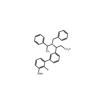 COc1cccc(-c2cccc(C(CC(=O)O)N(Cc3ccccc3)C(C)c3ccccc3)c2)c1F